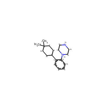 CC1(C)CCC(c2ccccc2N2CC[N]CC2)CC1